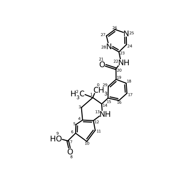 CC1(C)Cc2cc(C(=O)O)ccc2NC1c1cccc(C(=O)Nc2cnccn2)c1